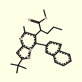 CCCC(C(=O)OC)c1c(C)nc2cc(C(C)(C)C)nn2c1-c1ccc2ccccc2c1